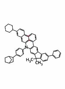 CC1(C)c2ccc(-c3ccccc3)cc2-c2cc(-c3ccccc3)c(N(c3ccc(C4CC5CCC4C5)cc3)c3ccc4ccc(C5CCCCC5)cc4c3)cc21